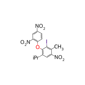 Cc1c([N+](=O)[O-])cc(C(C)C)c(Oc2ccc([N+](=O)[O-])cc2[N+](=O)[O-])c1I